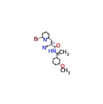 COc1cccc([C@H](C)NC(=O)/C(C#N)=C/c2cccc(Br)n2)c1